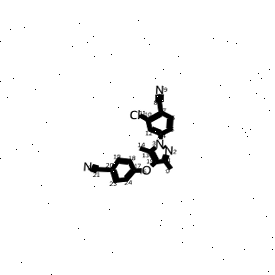 Cc1nn(-c2ccc(C#N)c(Cl)c2)c(C)c1Oc1ccc(C#N)cc1